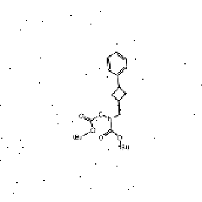 CC(C)(C)OC(=O)ON(CC1CC(c2ccccc2)C1)C(=O)OC(C)(C)C